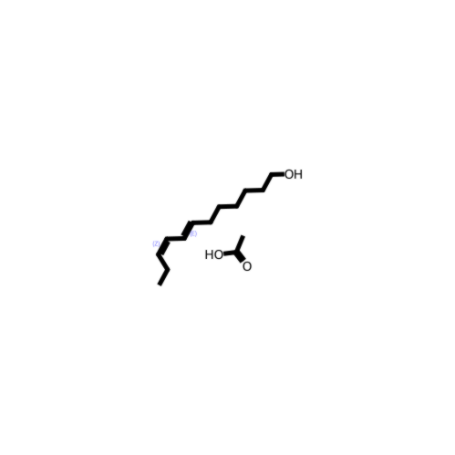 CC(=O)O.CC/C=C\C=C\CCCCCCO